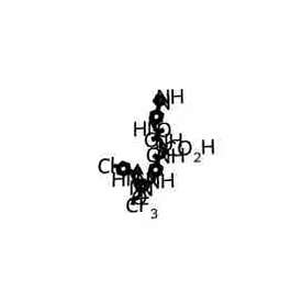 O=C(NC[C@H](NC(=O)c1ccc(Nc2nc(NC3(c4ccc(Cl)cc4)CC3)nc(OCC(F)(F)F)n2)cc1)C(=O)O)C(=O)Nc1ccc(-c2cc[nH]n2)cc1